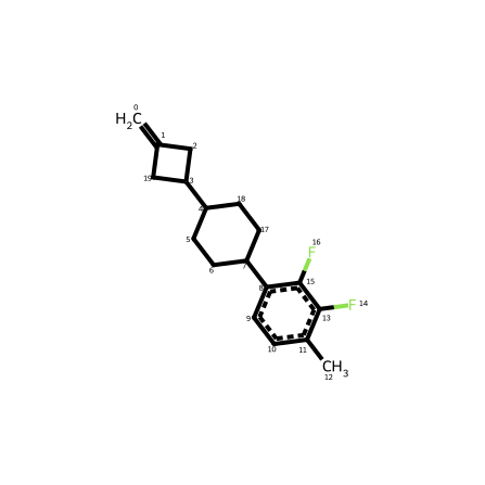 C=C1CC(C2CCC(c3ccc(C)c(F)c3F)CC2)C1